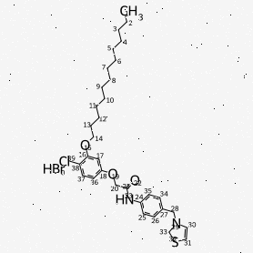 Br.CCCCCCCCCCCCCCOc1cc(OCC(=O)Nc2ccc(CN3C=CSC3)cc2)ccc1Cl